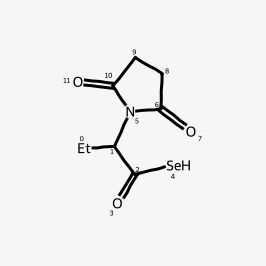 CCC(C(=O)[SeH])N1C(=O)CCC1=O